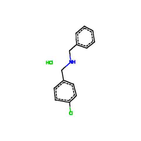 Cl.Clc1ccc(CNCc2ccccc2)cc1